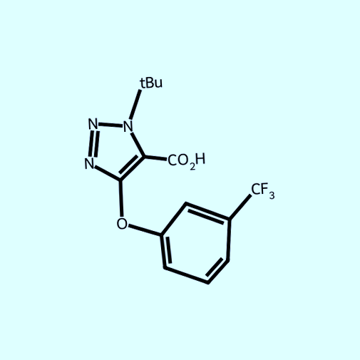 CC(C)(C)n1nnc(Oc2cccc(C(F)(F)F)c2)c1C(=O)O